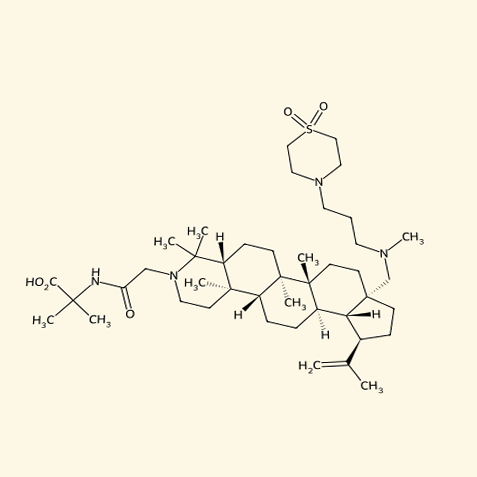 C=C(C)[C@@H]1CC[C@]2(CN(C)CCCN3CCS(=O)(=O)CC3)CC[C@]3(C)[C@H](CC[C@@H]4[C@@]5(C)CCN(CC(=O)NC(C)(C)C(=O)O)C(C)(C)[C@@H]5CC[C@]43C)[C@@H]12